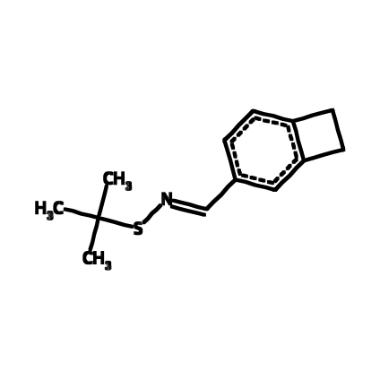 CC(C)(C)SN=Cc1ccc2c(c1)CC2